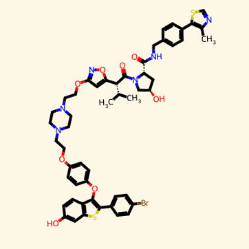 Cc1ncsc1-c1ccc(CNC(=O)[C@@H]2C[C@@H](O)CN2C(=O)[C@@H](c2cc(OCCN3CCN(CCOc4ccc(Oc5c(-c6ccc(Br)cc6)sc6cc(O)ccc56)cc4)CC3)no2)C(C)C)cc1